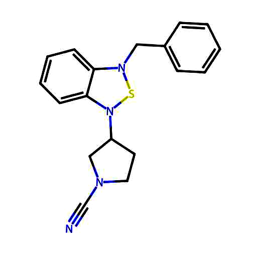 N#CN1CCC(N2SN(Cc3ccccc3)c3ccccc32)C1